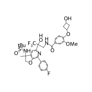 COc1cc(C(=O)NCC(O)(c2cc3c(c(-c4ccc(F)cc4)n2)OCC3(C)N[S+]([O-])C(C)(C)C)C(F)(F)F)ccc1OC1CC(O)C1